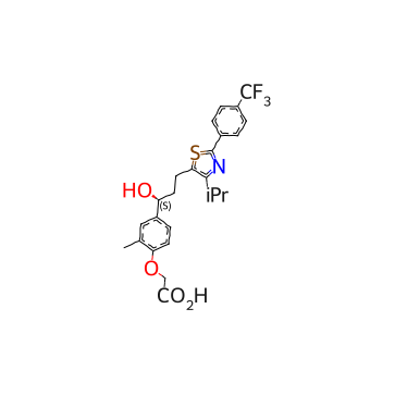 Cc1cc([C@@H](O)CCc2sc(-c3ccc(C(F)(F)F)cc3)nc2C(C)C)ccc1OCC(=O)O